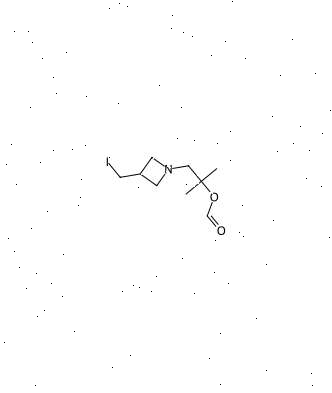 CC(C)(CN1CC(CI)C1)OC=O